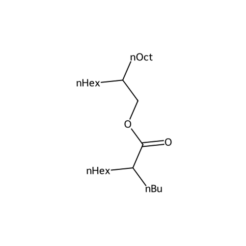 CCCCCCCCC(CCCCCC)COC(=O)C(CCCC)CCCCCC